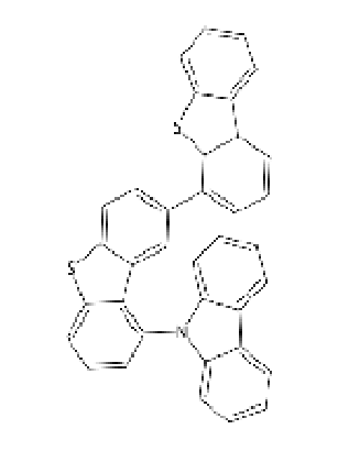 C1=CC2c3ccccc3SC2C(c2ccc3sc4cccc(-n5c6ccccc6c6ccccc65)c4c3c2)=C1